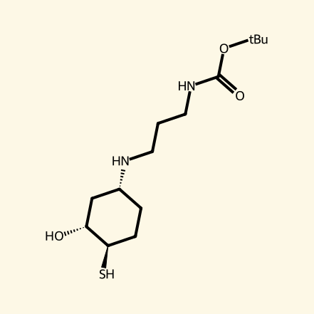 CC(C)(C)OC(=O)NCCCN[C@@H]1CC[C@@H](S)[C@H](O)C1